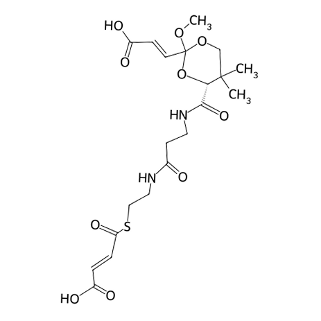 COC1(/C=C/C(=O)O)OCC(C)(C)[C@H](C(=O)NCCC(=O)NCCSC(=O)/C=C/C(=O)O)O1